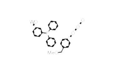 CO[C]c1ccccc1.[C]=O.[C]=O.[C]=O.[C]=O.[W].c1ccc(P(c2ccccc2)c2ccccc2)cc1